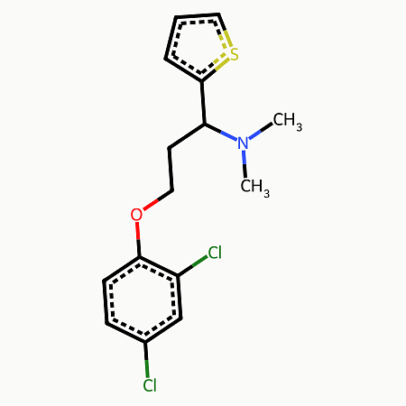 CN(C)C(CCOc1ccc(Cl)cc1Cl)c1cccs1